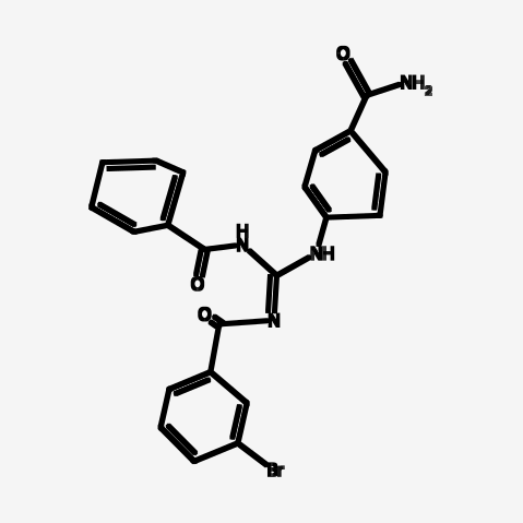 NC(=O)c1ccc(N/C(=N/C(=O)c2cccc(Br)c2)NC(=O)c2ccccc2)cc1